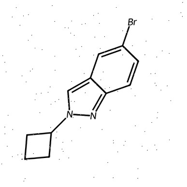 Brc1ccc2nn(C3C[CH]C3)cc2c1